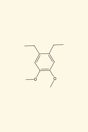 CCc1cc(OC)c(OC)cc1CC